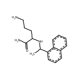 CC(NC(CCCN)C(N)=O)c1cccc2ccccc12